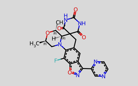 C[C@@H]1CN2c3c(cc4c(-c5cnccn5)noc4c3F)CC3(C(=O)NC(=O)NC3=O)[C@@H]2[C@@H](C)O1